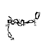 C=C[C@@H]1CC[C@]2(NCCN3CCS(=O)(=O)CC3)CC[C@]3(C)[C@H](CCC4[C@@]5(C)CC=C(C6=CCC(COc7ccncc7)(C(=O)O)CC6)C(C)(C)C5CC[C@]43C)[C@@H]12